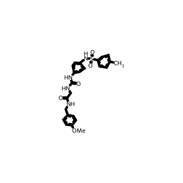 COc1ccc(CNC(=O)CNC(=O)Nc2ccc(NS(=O)(=O)c3ccc(C)cc3)cc2)cc1